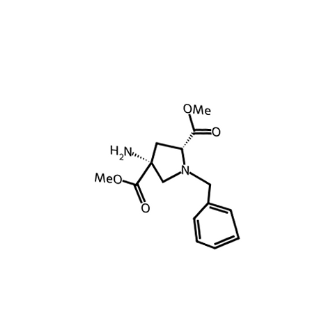 COC(=O)[C@H]1C[C@](N)(C(=O)OC)CN1Cc1ccccc1